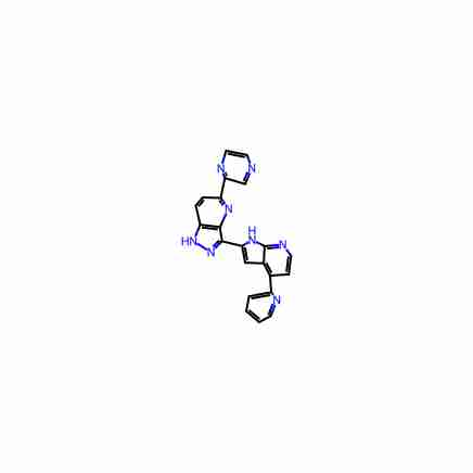 c1ccc(-c2ccnc3[nH]c(-c4n[nH]c5ccc(-c6cnccn6)nc45)cc23)nc1